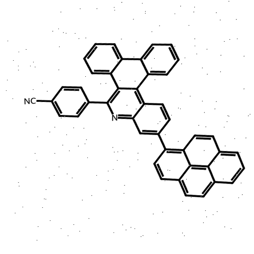 N#Cc1ccc(-c2nc3cc(-c4ccc5ccc6cccc7ccc4c5c67)ccc3c3c4ccccc4c4ccccc4c23)cc1